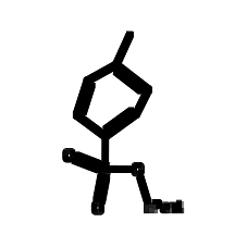 CCCCCOS(=O)(=O)c1ccc(C)cc1